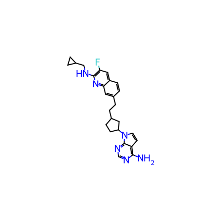 Nc1ncnc2c1ccn2C1CCC(CCc2ccc3cc(F)c(NCC4CC4)nc3c2)C1